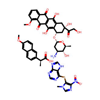 COc1ccc2cc([C@H](C)C(=O)O)ccc2c1.COc1cccc2c1C(=O)c1c(O)c3c(c(O)c1C2=O)C[C@@](O)(C(=O)CO)C[C@@H]3O[C@H]1C[C@H](N)[C@@H](O)[C@H](C)O1.Cn1cnc([N+](=O)[O-])c1Sc1ncnc2nc[nH]c12